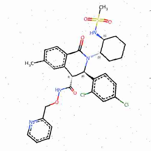 Cc1ccc2c(c1)[C@@H](C(=O)NOCc1ccccn1)[C@H](c1ccc(Cl)cc1Cl)N([C@H]1CCCC[C@@H]1NS(C)(=O)=O)C2=O